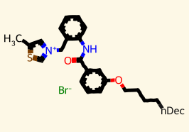 CCCCCCCCCCCCCCOc1cccc(C(=O)Nc2ccccc2C[n+]2csc(C)c2)c1.[Br-]